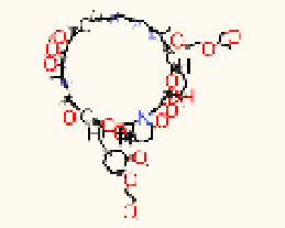 COCCO[C@@H]1CC[C@@H](CC2[C@H]3CCCN4C(=O)C(=O)[C@]5(O)O[C@@H](CC[C@H]5C)C[C@@H](OCCOC5COC5)/C(C)=C/C=C/C=C/[C@@H](C)C[C@@H](C)C(=O)[C@H](OC)[C@H](OC)/C(C)=C/[C@@H](C)C(=O)C[C@@H]2OC(=O)C34)C[C@H]1OC